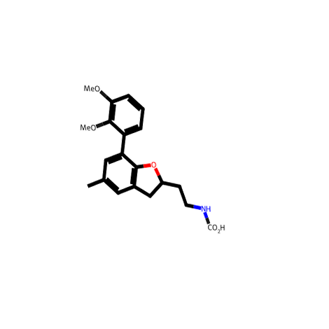 COc1cccc(-c2cc(C)cc3c2OC(CCNC(=O)O)C3)c1OC